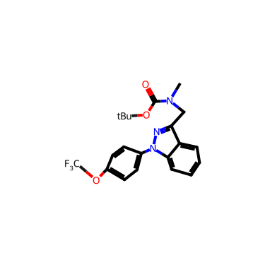 CN(Cc1nn(-c2ccc(OC(F)(F)F)cc2)c2ccccc12)C(=O)OC(C)(C)C